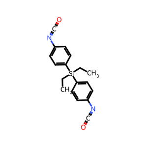 CC[Si](CC)(c1ccc(N=C=O)cc1)c1ccc(N=C=O)cc1